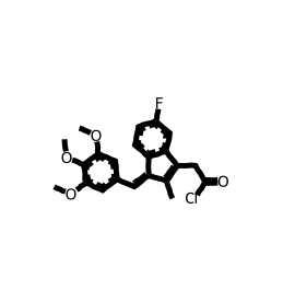 COc1cc(/C=C2/C(C)=C(CC(=O)Cl)c3cc(F)ccc32)cc(OC)c1OC